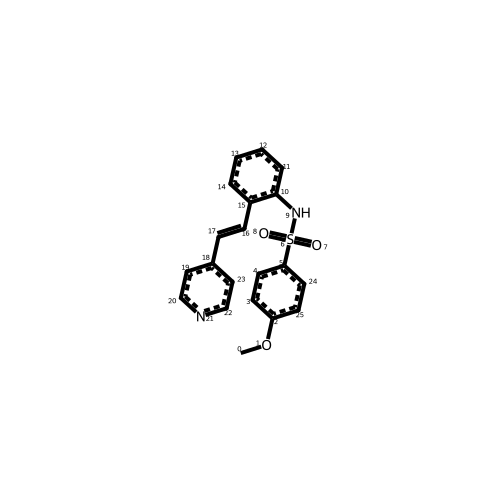 COc1ccc(S(=O)(=O)Nc2ccccc2C=Cc2ccncc2)cc1